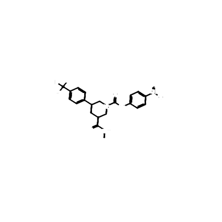 CPC(=O)C1CC(c2ccc(C(F)(F)F)cc2)CN(C(=O)Oc2ccc([N+](=O)[O-])cc2)C1